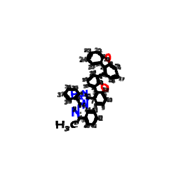 CC(/N=C(\N=C(/N)c1cccc2oc3c(-c4cccc5oc6ccccc6c45)cccc3c12)c1ccccc1)c1ccccc1